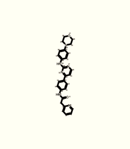 O=C(Cc1ccccn1)Nc1ccc(-c2ccnc(Nc3ccc(N4CCOCC4)cc3)n2)cc1